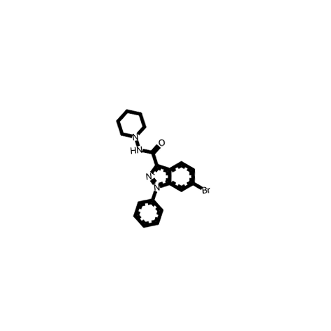 O=C(NN1CCCCC1)c1nn(-c2ccccc2)c2cc(Br)ccc12